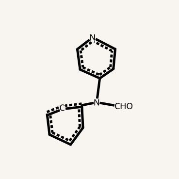 O=CN(c1ccccc1)c1ccncc1